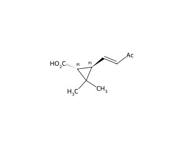 CC(=O)C=C[C@@H]1[C@@H](C(=O)O)C1(C)C